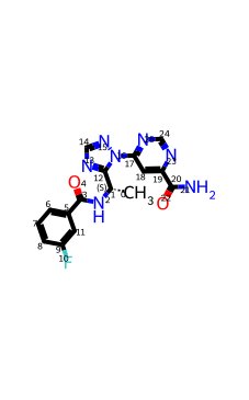 C[C@H](NC(=O)c1cccc(F)c1)c1ncnn1-c1cc(C(N)=O)ncn1